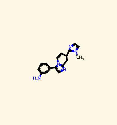 Cn1ccnc1C1C=Cn2c(-c3cccc(N)c3)cnc2C1